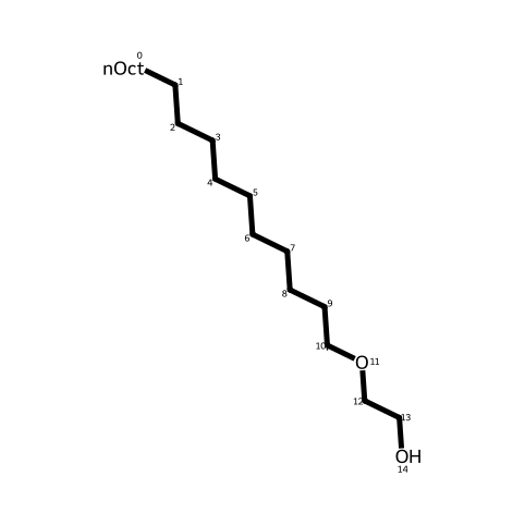 CCCCCCCCCCCCCCCCC[CH]OCCO